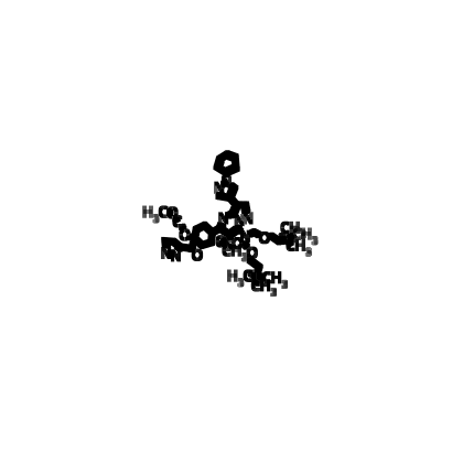 COCCOC1(C(=O)C2=NN=CC2)CCC(c2nc3c(-c4cnn(-c5ccccc5)c4)cnn3c(N(COCC[Si](C)(C)C)COCC[Si](C)(C)C)c2S(C)(=O)=O)CC1